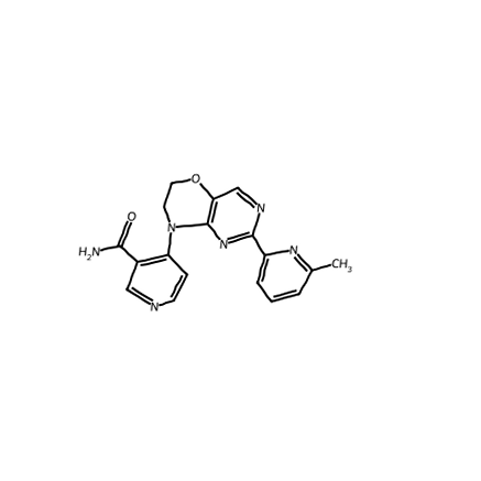 Cc1cccc(-c2ncc3c(n2)N(c2ccncc2C(N)=O)CCO3)n1